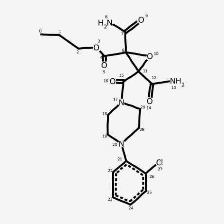 CCCOC(=O)C1(C(N)=O)OC1(C(N)=O)C(=O)N1CCN(c2ccccc2Cl)CC1